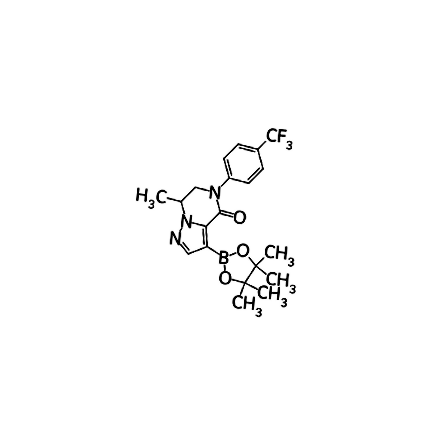 CC1CN(c2ccc(C(F)(F)F)cc2)C(=O)c2c(B3OC(C)(C)C(C)(C)O3)cnn21